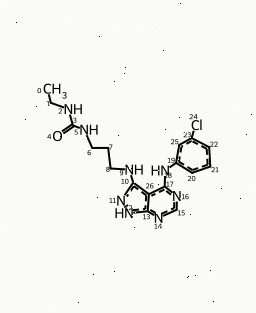 CCNC(=O)NCCCNc1n[nH]c2ncnc(Nc3cccc(Cl)c3)c12